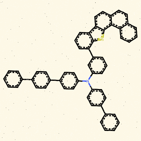 c1ccc(-c2ccc(-c3ccc(N(c4ccc(-c5ccccc5)cc4)c4cccc(-c5cccc6c5sc5c6ccc6ccc7ccccc7c65)c4)cc3)cc2)cc1